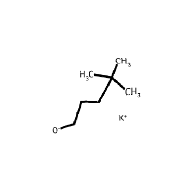 CC(C)(C)CCC[O-].[K+]